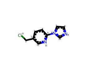 ClCc1ccc(-n2ccnc2)nc1